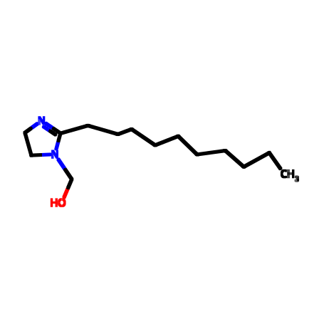 CCCCCCCCCCC1=NCCN1CO